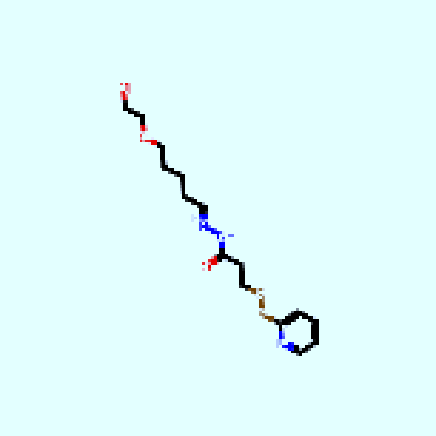 O=C(CCSSc1ccccn1)N/N=C/CCCCOCCO